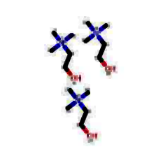 C[N+](C)(C)CCO.C[N+](C)(C)CCO.C[N+](C)(C)CCO